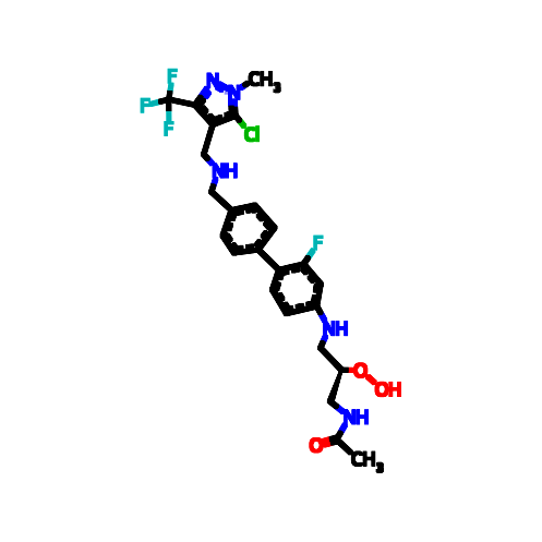 CC(=O)NC[C@@H](CNc1ccc(-c2ccc(CNCc3c(C(F)(F)F)nn(C)c3Cl)cc2)c(F)c1)OO